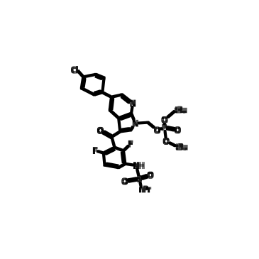 CCCS(=O)(=O)Nc1ccc(F)c(C(=O)c2cn(COP(=O)(OC(C)(C)C)OC(C)(C)C)c3ncc(-c4ccc(Cl)cc4)cc23)c1F